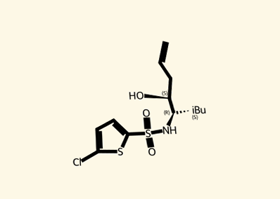 C=CC[C@H](O)[C@H](NS(=O)(=O)c1ccc(Cl)s1)[C@@H](C)CC